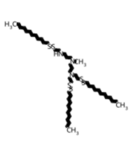 CCCCCCCCCCCCSSCCNCCCN(C)CCCN(CCSSCCCCCCCCCCCC)CCSSCCCCCCCCCCCC